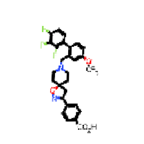 O=C(O)c1ccc(C2=NOC3(CCN(Cc4cc(OC(F)(F)F)ccc4-c4ccc(F)c(F)c4F)CC3)C2)cc1